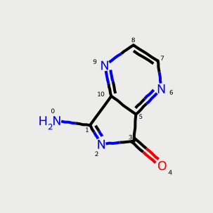 NC1=NC(=O)c2nccnc21